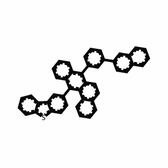 c1cc(-c2ccc3ccccc3c2)cc(-c2c3ccccc3c(-c3ccc4sc5ccccc5c4c3)c3c2ccc2ccccc23)c1